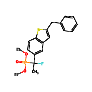 CCOP(=O)(OCC)C(C)(F)c1ccc2sc(Cc3ccccc3)cc2c1